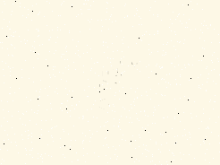 COC(=O)[C@@H]1COC(C(=O)[C@H](CCc2ccccc2)NC(=O)CCC2CCCCC2)=N1